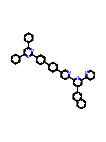 c1ccc(-c2cc(-c3ccccc3)nc(-c3ccc(-c4ccc(-c5ccc(-c6cc(-c7ccc8ccccc8c7)cc(-c7ccccn7)n6)nc5)cc4)cc3)n2)cc1